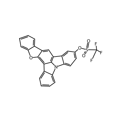 O=S(=O)(Oc1ccc2c(c1)c1cc3c4ccccc4oc3c3c4ccccc4n2c13)C(F)(F)F